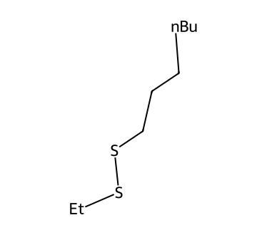 CCCCCCCSSCC